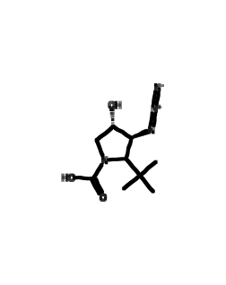 CC(C)(C)C1[C@H](N=[N+]=[N-])[C@@H](O)CN1C(=O)O